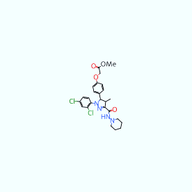 COC(=O)COc1ccc(C2C(C)C(C(=O)NN3CCCCC3)=NN2c2ccc(Cl)cc2Cl)cc1